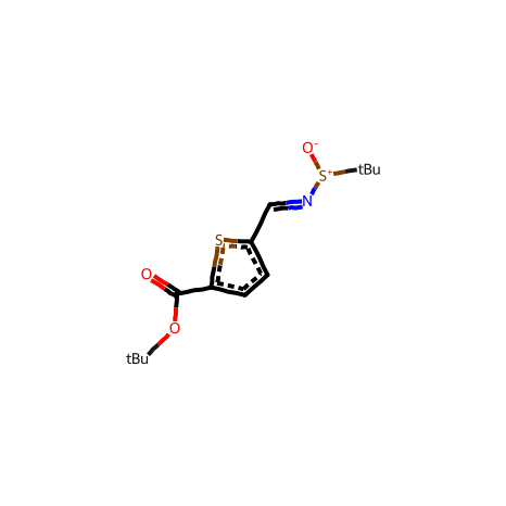 CC(C)(C)OC(=O)c1ccc(C=N[S+]([O-])C(C)(C)C)s1